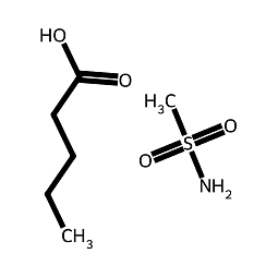 CCCCC(=O)O.CS(N)(=O)=O